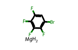 Fc1cc(Br)c(F)c(F)c1F.[MgH2]